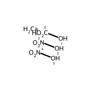 O=C(O)O.O=[N+]([O-])O.O=[N+]([O-])O.[CaH2]